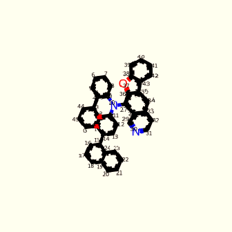 c1ccc(-c2ccccc2N(c2ccc(-c3cccc4ccccc34)cc2)c2c3cnccc3cc3c2oc2ccccc23)cc1